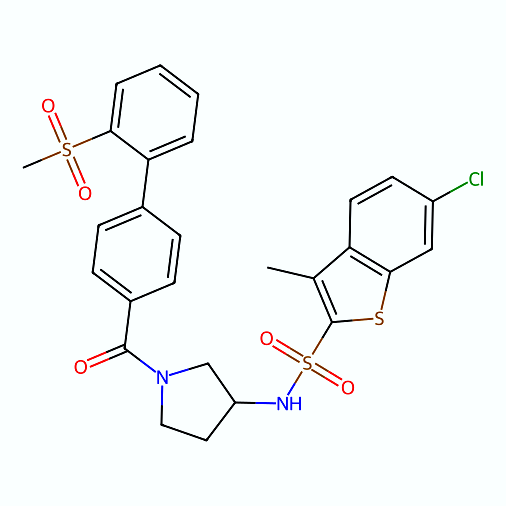 Cc1c(S(=O)(=O)NC2CCN(C(=O)c3ccc(-c4ccccc4S(C)(=O)=O)cc3)C2)sc2cc(Cl)ccc12